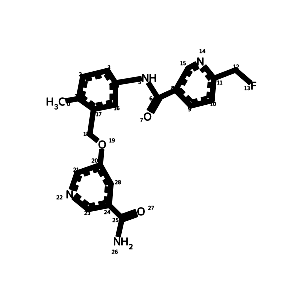 Cc1ccc(NC(=O)c2ccc(CF)nc2)cc1COc1cncc(C(N)=O)c1